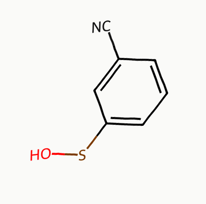 N#Cc1cccc(SO)c1